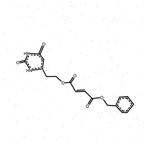 O=C(/C=C/C(=O)OCc1ccccc1)OCCc1cc(=O)[nH]c(=O)[nH]1